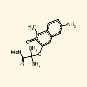 BC(B)(Oc1cc2cc(N)ccc2n(C)c1=O)C(=O)NC